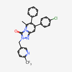 Cc1c(-c2ccccc2)c(-c2ccc(Cl)cc2)cc2nn(Cc3ccc(C(F)(F)F)nc3)c(=O)n12